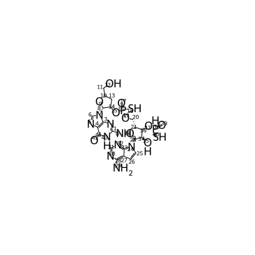 Nc1nc2c(ncn2[C@@H]2OC(CO)C[C@H]2OP(=O)(S)OC[C@H]2O[C@@H](n3ccc4c(N)ncnc43)[C@H](O)[C@@H]2O[PH](=O)S)c(=O)[nH]1